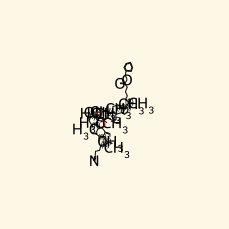 C[C@H](CCCCC(=O)OCc1ccccc1)[C@H]1CC=C2C3=C(CC[C@@]21C)[C@@]1(C)CC[C@@](O)(C24CCC5=C(CC[C@@]6(C)C5=CC[C@@H]6[C@H](C)CCCC#N)[C@@]2(C)CC[C@@H](O)C4(C)C)C(C)(C)C1CC3